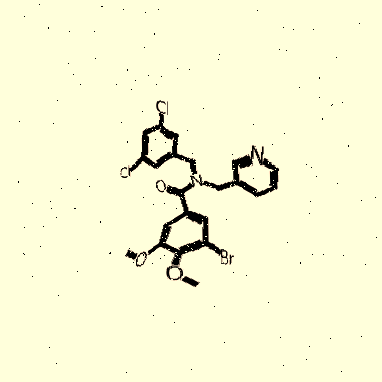 COc1cc(C(=O)N(Cc2cccnc2)Cc2cc(Cl)cc(Cl)c2)cc(Br)c1OC